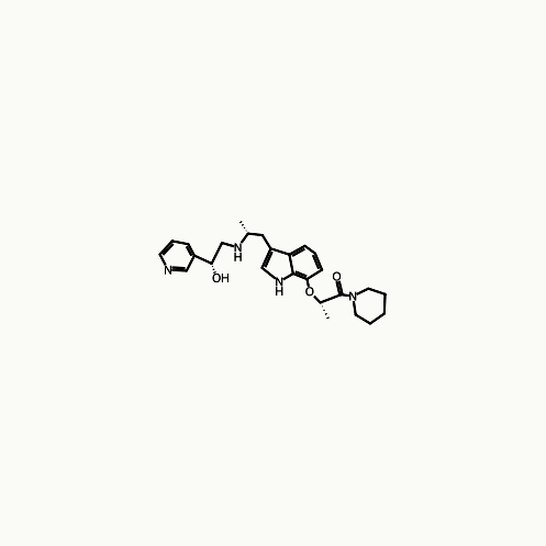 C[C@H](Cc1c[nH]c2c(O[C@@H](C)C(=O)N3CCCCC3)cccc12)NC[C@H](O)c1cccnc1